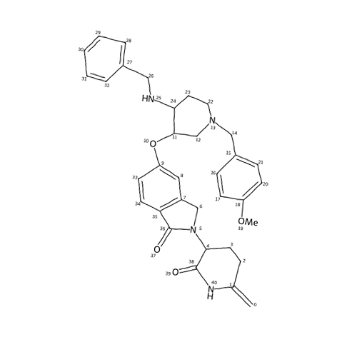 C=C1CCC(N2Cc3cc(OC4CN(Cc5ccc(OC)cc5)CCC4NCc4ccccc4)ccc3C2=O)C(=O)N1